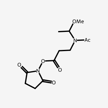 COC(C)N(CCC(=O)ON1C(=O)CCC1=O)C(C)=O